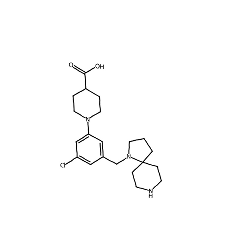 O=C(O)C1CCN(c2cc(Cl)cc(CN3CCCC34CCNCC4)c2)CC1